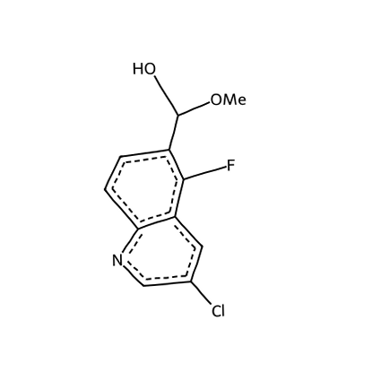 COC(O)c1ccc2ncc(Cl)cc2c1F